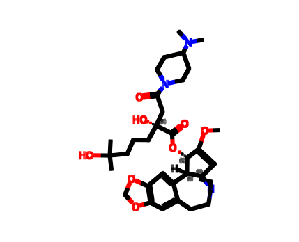 COC1=C[C@]23CCCN2CCc2cc4c(cc2[C@@H]3[C@@H]1OC(=O)[C@@](O)(CCCC(C)(C)O)CC(=O)N1CCC(N(C)C)CC1)OCO4